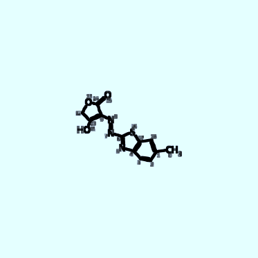 Cc1ccc2nc(N=NC3=C(O)COC3=O)sc2c1